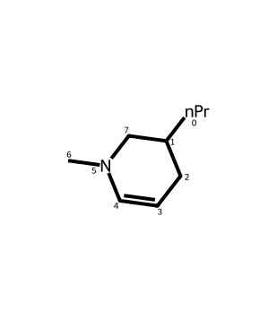 CCCC1CC=CN(C)C1